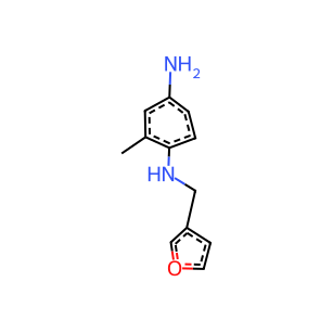 Cc1cc(N)ccc1NCc1ccoc1